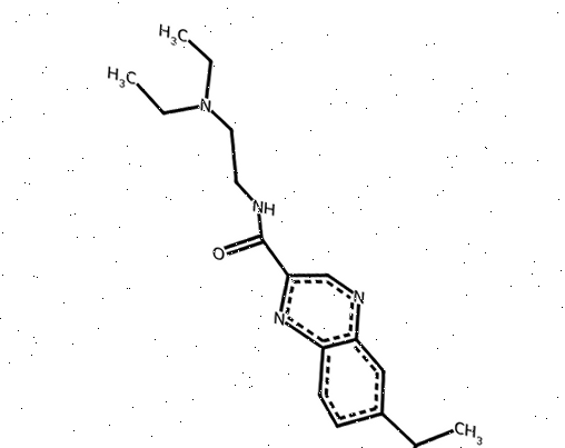 CCN(CC)CCNC(=O)c1cnc2cc(C(C)C)ccc2n1